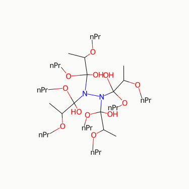 CCCOC(C)C(O)(OCCC)N(N(C(O)(OCCC)C(C)OCCC)C(O)(OCCC)C(C)OCCC)C(O)(OCCC)C(C)OCCC